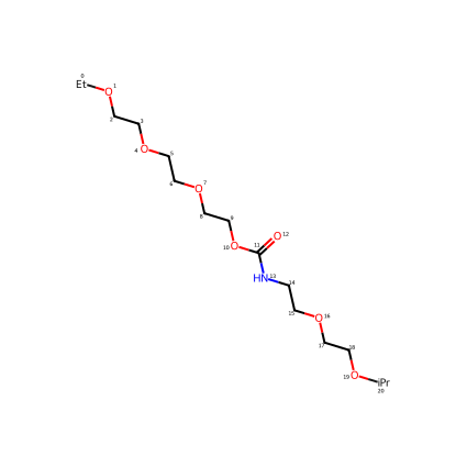 CCOCCOCCOCCOC(=O)NCCOCCOC(C)C